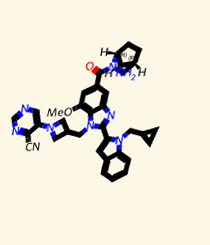 COc1cc(C(=O)N2C[C@H]3CC[C@@H]2[C@@H]3N)cc2nc(-c3cc4ccccc4n3CC3CC3)n(CC3CN(c4cncnc4C#N)C3)c12